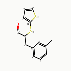 Cc1cccc(CC(C=O)Sc2cccs2)c1